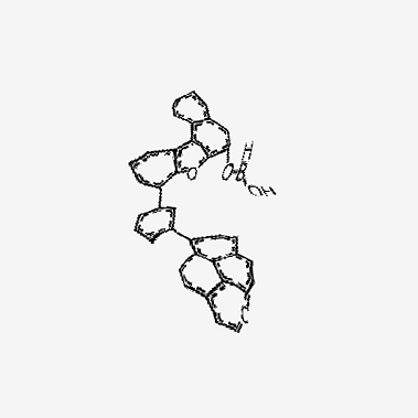 OBOc1cc2ccccc2c2c1oc1c(-c3cccc(-c4ccc5ccc6cccc7ccc4c5c67)c3)cccc12